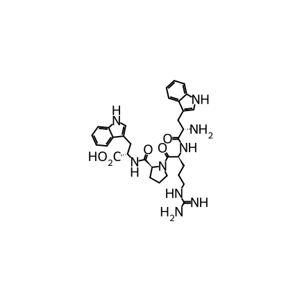 N=C(N)NCCC[C@H](NC(=O)[C@@H](N)Cc1c[nH]c2ccccc12)C(=O)N1CCC[C@H]1C(=O)N[C@@H](Cc1c[nH]c2ccccc12)C(=O)O